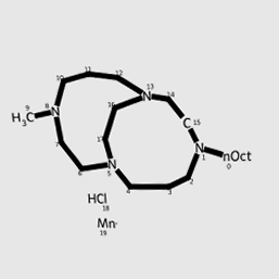 CCCCCCCCN1CCCN2CCN(C)CCCN(CC1)CC2.Cl.[Mn]